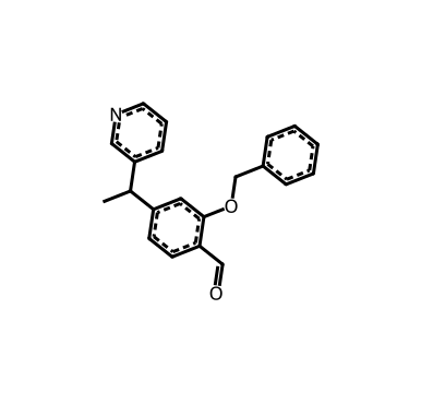 CC(c1cccnc1)c1ccc(C=O)c(OCc2ccccc2)c1